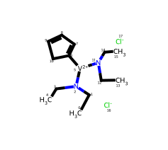 CC[N](CC)[V+2]([C]1=CC=CC1)[N](CC)CC.[Cl-].[Cl-]